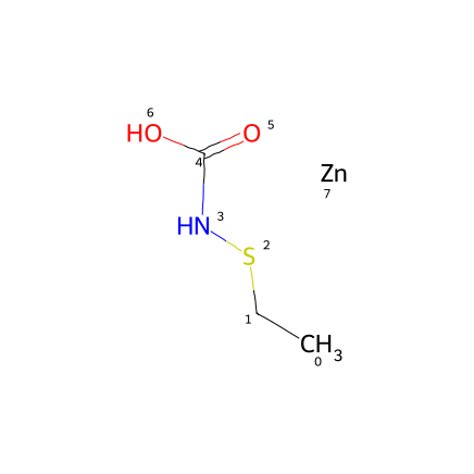 CCSNC(=O)O.[Zn]